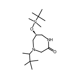 CC(N1CC(=O)NC[C@H](O[Si](C)(C)C(C)(C)C)C1)C(C)(C)C